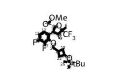 COC(=O)[C@@H]1O[C@@](C)(C(F)(F)F)[C@@H](C)[C@H]1c1ccc(F)c(F)c1OCC1CC(O[Si](C)(C)C(C)(C)C)C1